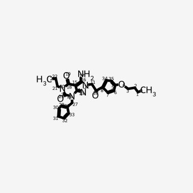 CCCCOc1ccc(C(=O)Cn2nc3c(c2N)c(=O)n(CCC)c(=O)n3Cc2ccccc2)cc1